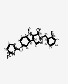 Cn1c2ccc(Oc3cccc(F)n3)cc2c2cnn(Cc3ccccc3F)c(=O)c21